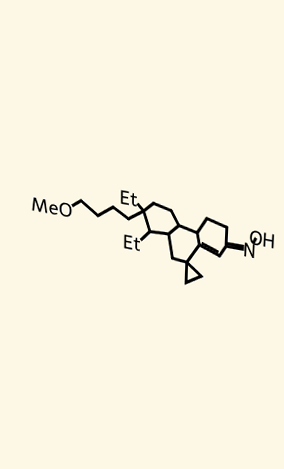 CCC1C2CC3(CC3)C3=C/C(=N/O)CCC3C2CCC1(CC)CCCCOC